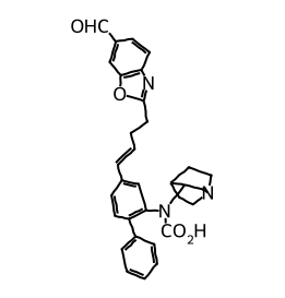 O=Cc1ccc2nc(CCC=Cc3ccc(-c4ccccc4)c(N(C(=O)O)C4CN5CCC4CC5)c3)oc2c1